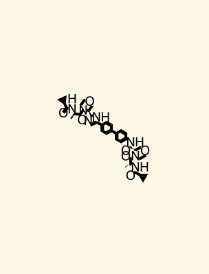 C[C@@H](NC(=O)C1CC1)C(=O)N1CCOC[C@H]1C(=O)Nc1ccc(-c2ccc(-c3cnc([C@@H]4COCCN4C(=O)[C@@H](C)NC(=O)C4CC4)[nH]3)cc2)cc1